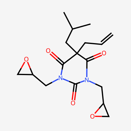 C=CCC1(CC(C)C)C(=O)N(CC2CO2)C(=O)N(CC2CO2)C1=O